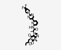 CCC(=O)Cn1c(=O)c2c(ncn2[C@@H](C)C(=O)Nc2cccc(-c3cnc(N4CC5C(C4)C5(F)F)nc3)n2)n(C)c1=O